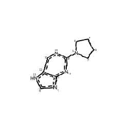 [c]1nc2nc(N3CCCC3)ncc2[nH]1